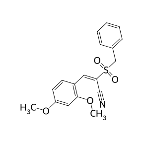 COc1ccc(/C=C(\C#N)S(=O)(=O)Cc2ccccc2)c(OC)c1